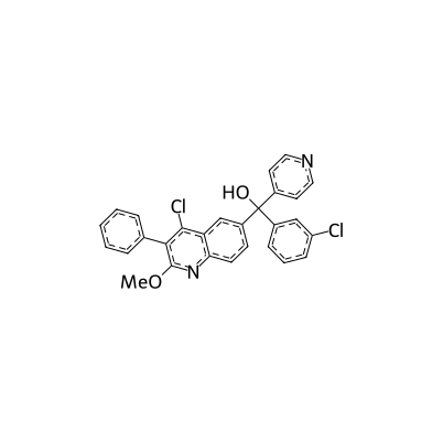 COc1nc2ccc(C(O)(c3ccncc3)c3cccc(Cl)c3)cc2c(Cl)c1-c1ccccc1